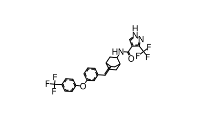 O=C(NC1CC2CCC1CC2=Cc1cccc(Oc2ccc(C(F)(F)F)cc2)c1)c1c[nH]nc1C(F)(F)F